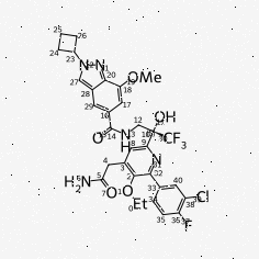 CCOc1c(CC(N)=O)cc([C@@](O)(CNC(=O)c2cc(OC)c3nn(C4CCC4)cc3c2)C(F)(F)F)nc1-c1ccc(F)c(Cl)c1